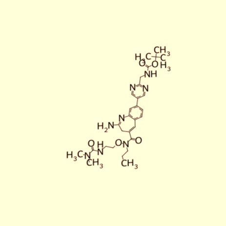 CCCN(OCCNC(=O)N(C)C)C(=O)C1=Cc2ccc(-c3cnc(CNC(=O)OC(C)(C)C)nc3)cc2N=C(N)C1